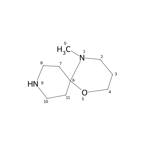 CN1CCCOC12CCNCC2